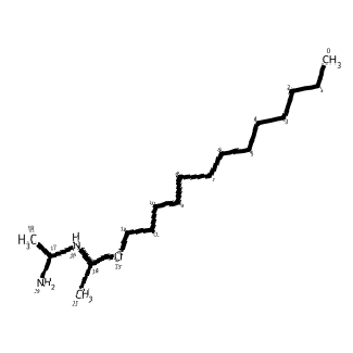 CCCCCCCCCCCCCOC(C)NC(C)N